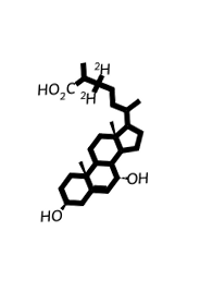 [2H]C([2H])(CCC(C)C1CCC2C3C(CC[C@]12C)[C@@]1(C)CC[C@H](O)CC1=C[C@H]3O)C(C)C(=O)O